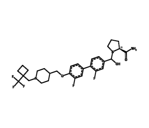 NC(=O)[C@@H]1CCCN1C(O)c1ccc(-c2ccc(OCC3CCN(CC4(C(F)(F)F)CCC4)CC3)c(F)c2)c(F)c1